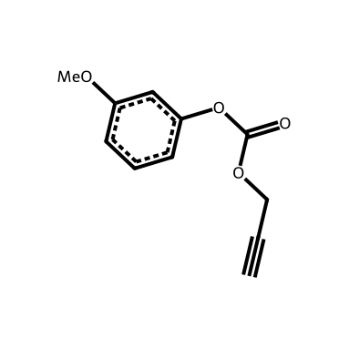 C#CCOC(=O)Oc1cccc(OC)c1